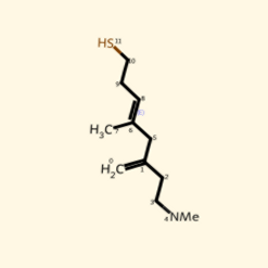 C=C(CCNC)C/C(C)=C/CCS